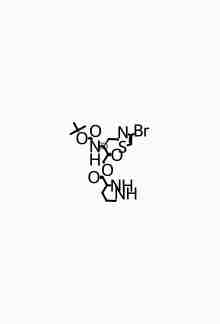 CC(C)(C)OC(=O)N[C@@H](Cc1nc(Br)cs1)C(=O)COC(=O)C1CCCNN1